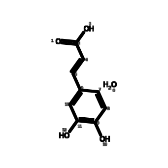 O.O=C(O)C=Cc1ccc(O)c(O)c1